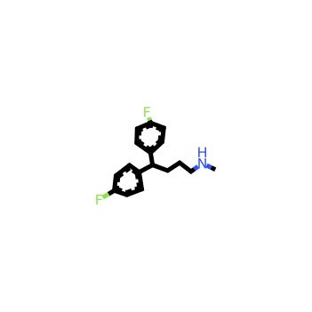 CNCCCC(c1ccc(F)cc1)c1ccc(F)cc1